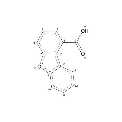 O=C(O)c1cccc2oc3ccccc3c12